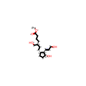 CC(C)OC(=O)CCC[C@H](CO)CC[C@H]1CC[C@@H](O)[C@@H]1/C=C/CO